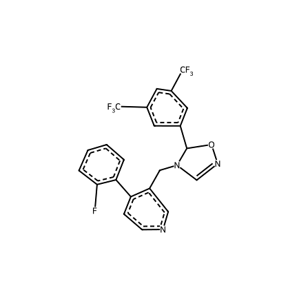 Fc1ccccc1-c1ccncc1CN1C=NOC1c1cc(C(F)(F)F)cc(C(F)(F)F)c1